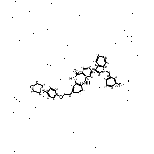 O=C1Nc2cc(CCOc3ccc(N4CCOCC4)cc3)ccc2Nc2cc(-c3cn(Cc4cccc(F)c4)c4cnccc34)ccc21